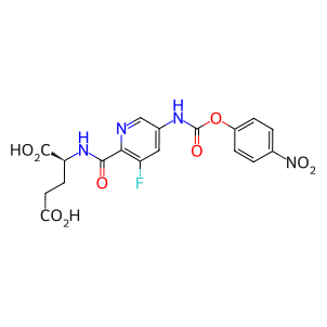 O=C(O)CC[C@H](NC(=O)c1ncc(NC(=O)Oc2ccc([N+](=O)[O-])cc2)cc1F)C(=O)O